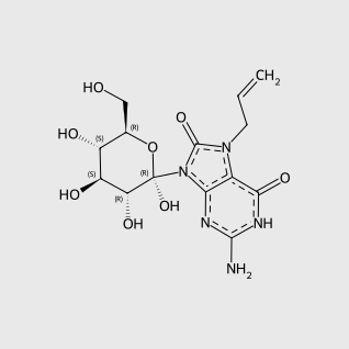 C=CCn1c(=O)n([C@]2(O)O[C@H](CO)[C@@H](O)[C@H](O)[C@H]2O)c2nc(N)[nH]c(=O)c21